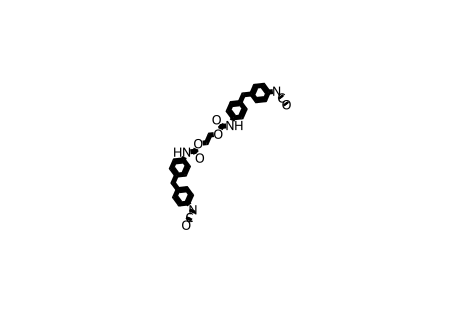 O=C=Nc1ccc(Cc2ccc(NC(=O)OCCOC(=O)Nc3ccc(Cc4ccc(N=C=O)cc4)cc3)cc2)cc1